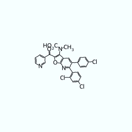 CN(C(=O)O)c1c(C(=O)c2cccnc2)oc2nc(-c3ccc(Cl)cc3Cl)c(-c3ccc(Cl)cc3)cc12